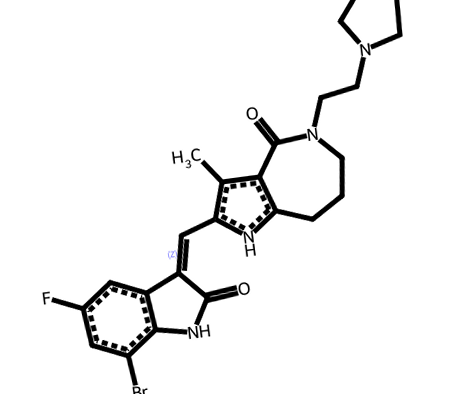 Cc1c(/C=C2\C(=O)Nc3c(Br)cc(F)cc32)[nH]c2c1C(=O)N(CCN1CCCC1)CCC2